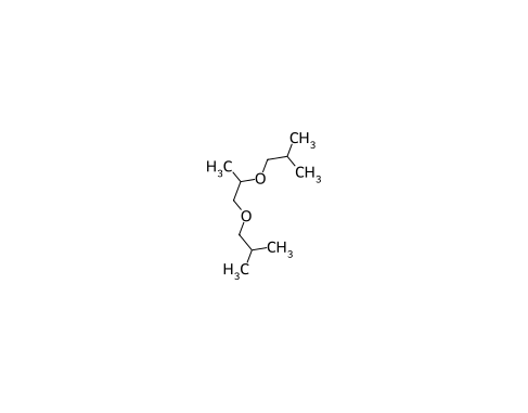 CC(C)COCC(C)OCC(C)C